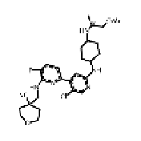 COC[C@H](C)NC1CCC(Nc2cc(-c3ccc(F)c(NCC4(C#N)CCOCC4)n3)c(Cl)cn2)CC1